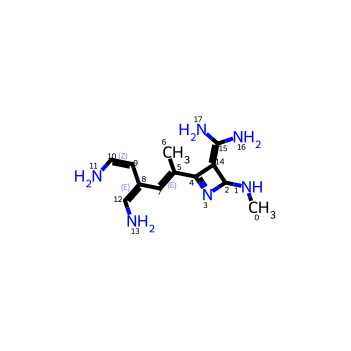 CNC1N=C(/C(C)=C/C(/C=C\N)=C\N)C1=C(N)N